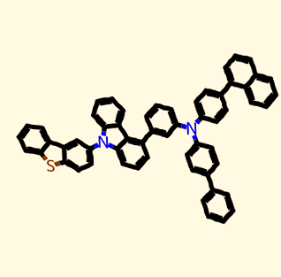 c1ccc(-c2ccc(N(c3ccc(-c4cccc5ccccc45)cc3)c3cccc(-c4cccc5c4c4ccccc4n5-c4ccc5sc6ccccc6c5c4)c3)cc2)cc1